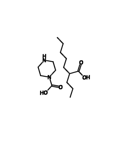 CCCCCC(CCC)C(=O)O.O=C(O)N1CCNCC1